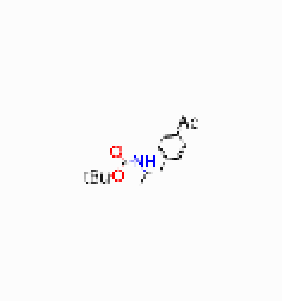 CC(=O)c1ccc(CC(C)NC(=O)OC(C)(C)C)cc1